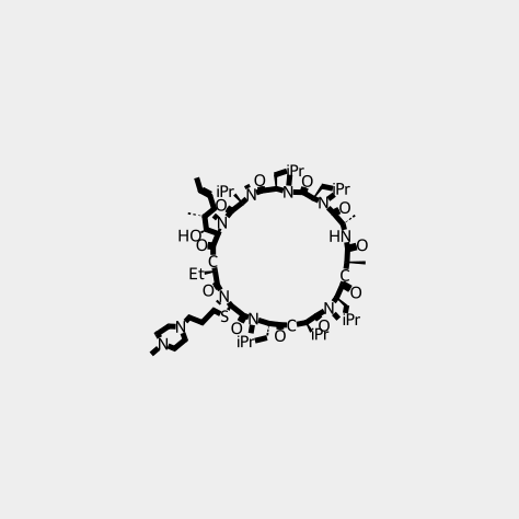 C/C=C/C[C@@H](C)[C@@H](O)[C@@H]1C(=O)C[C@H](CC)C(=O)N(C)[C@H](SCCCN2CCN(C)CC2)C(=O)N(C)[C@@H](CC(C)C)C(=O)C[C@H](C(C)C)C(=O)N(C)[C@H](CC(C)C)C(=O)C[C@H](C)C(=O)N[C@@H](C)C(=O)N(C)[C@H](CC(C)C)C(=O)N(C)[C@H](CC(C)C)C(=O)N(C)[C@H](C(C)C)C(=O)N1C